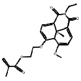 C=C(C)C(=O)OCCOC1=CC=C2C(=O)N(CC)C(=O)C3=CC=C(OC)C1[C@@]32C